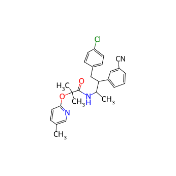 Cc1ccc(OC(C)(C)C(=O)NC(C)C(Cc2ccc(Cl)cc2)c2cccc(C#N)c2)nc1